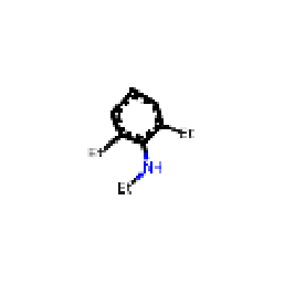 CCNc1c(CC)cccc1CC